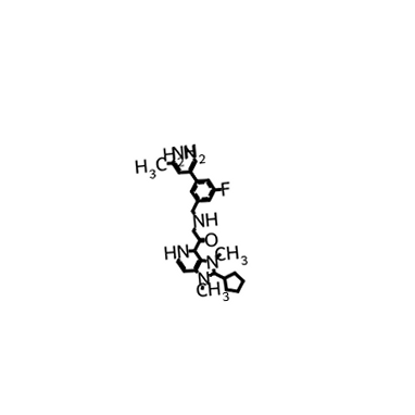 C/C(N)=C/C(=C\N)c1cc(F)cc(CNCC(=O)C2NC=CC3=C2N(C)C(C2CCCC2)N3C)c1